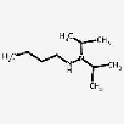 CCCCNN(C(C)C)C(C)C